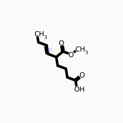 CC/C=C/C(CCCC(=O)O)C(=O)OC